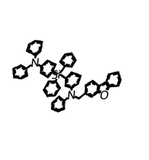 c1ccc(N(Cc2ccc3c(c2)oc2ccccc23)c2cccc([Si](c3ccccc3)(c3ccccc3)c3ccc(N(c4ccccc4)c4ccccc4)cc3)c2)cc1